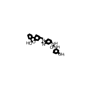 O=C(Nc1cccc(O)c1)Nc1ccc2c(c1)ncn2Cc1ccc(-c2ccccc2C(=O)O)cc1